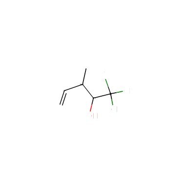 C=CC(C)C(O)C(Cl)(Cl)Cl